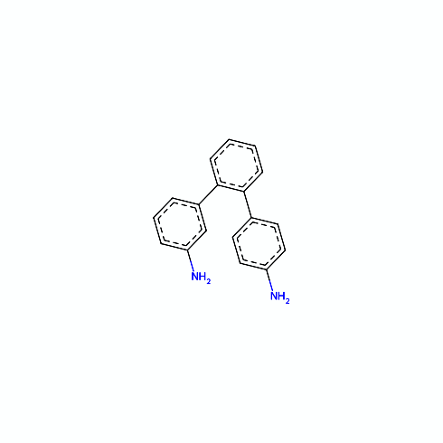 Nc1ccc(-c2ccccc2-c2cccc(N)c2)cc1